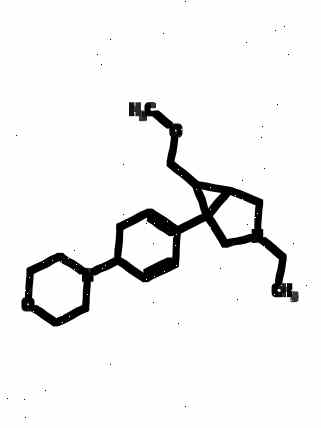 CCN1CC2C(COC)C2(C2=CCC(N3CCOCC3)C=C2)C1